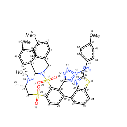 COc1ccc(CN(Cc2ccc(OC)cc2)S(=O)(=O)c2c(S(=O)(=O)C[C@H](C)NC(=O)O)ccc(-c3cccc4sc(N)nc34)c2-c2nnn(Cc3ccc(OC)cc3)n2)cc1